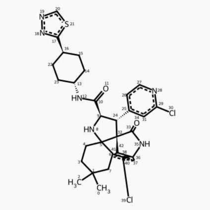 CC1(C)CCC2(CC1)N[C@@H](C(=O)N[C@H]1CC[C@H](c3nncs3)CC1)[C@H](c1ccnc(Cl)c1)[C@]21C(=O)Nc2cc(Cl)ccc21